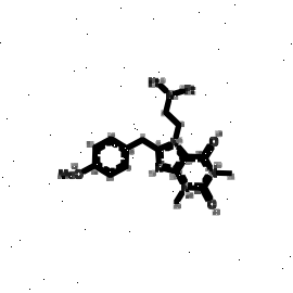 CCN(CC)CCn1c(Cc2ccc(OC)cc2)nc2c1c(=O)n(C)c(=O)n2C